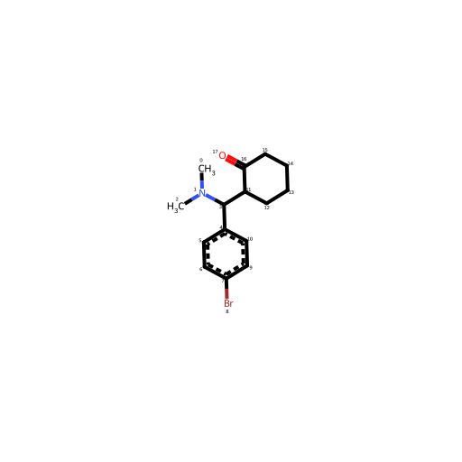 CN(C)C(c1ccc(Br)cc1)C1CCCCC1=O